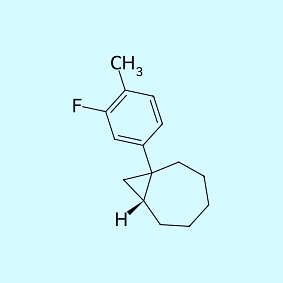 Cc1ccc(C23CCCCC[C@@H]2C3)cc1F